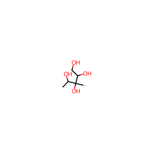 [CH2]C(O)(C(C)O)C(O)CO